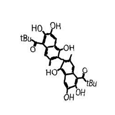 Cc1cc2c(C(=O)C(C)(C)C)c(O)c(O)cc2c(O)c1-c1c(C)cc2c(C(=O)C(C)(C)C)c(O)c(O)cc2c1O